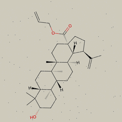 C=CCOC(=O)[C@]12CC[C@@H](C(=C)C)[C@@H]1[C@H]1CC[C@@H]3[C@@]4(C)CC[C@H](O)C(C)(C)[C@@H]4CC[C@@]3(C)[C@]1(C)CC2